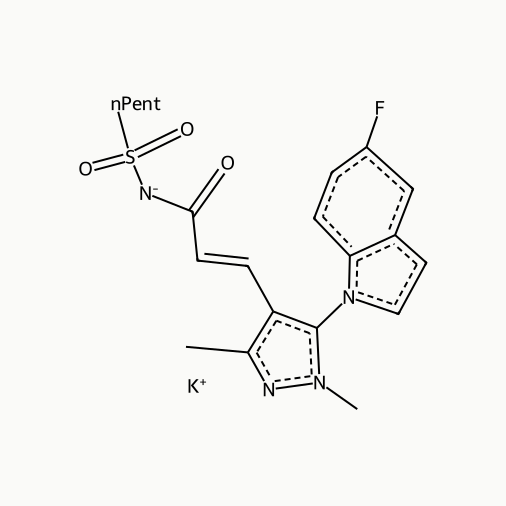 CCCCCS(=O)(=O)[N-]C(=O)/C=C/c1c(C)nn(C)c1-n1ccc2cc(F)ccc21.[K+]